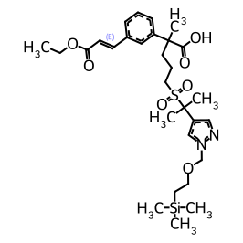 CCOC(=O)/C=C/c1cccc(C(C)(CCCS(=O)(=O)C(C)(C)c2cnn(COCC[Si](C)(C)C)c2)C(=O)O)c1